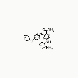 NC(=O)c1cnc(N[C@@H]2CCCC[C@@H]2N)nc1Nc1ccc(OC2CCOCC2)cc1